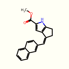 COC(=O)c1cc2c([nH]1)CC/C2=C/c1ccc2ccccc2c1